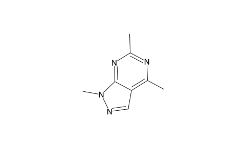 Cc1nc(C)c2cnn(C)c2n1